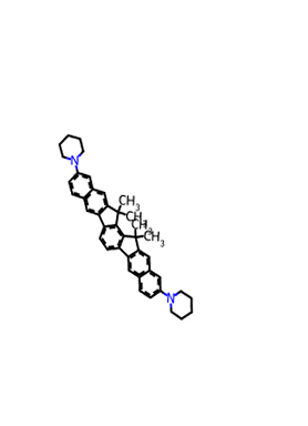 CC1(C)c2cc3cc(N4CCCCC4)ccc3cc2-c2ccc3c(c21)C(C)(C)c1cc2cc(N4CCCCC4)ccc2cc1-3